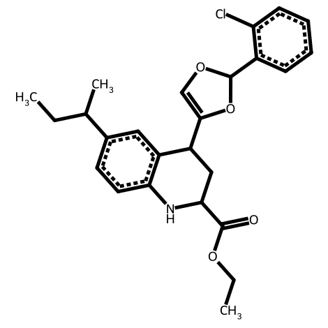 CCOC(=O)C1CC(C2=COC(c3ccccc3Cl)O2)c2cc(C(C)CC)ccc2N1